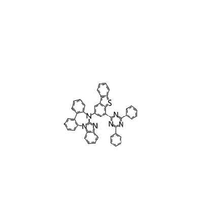 c1ccc(-c2nc(-c3ccccc3)nc(-c3cc(N4c5ccccc5-c5ccccc5-n5c4nc4ccccc45)cc4c3sc3ccccc34)n2)cc1